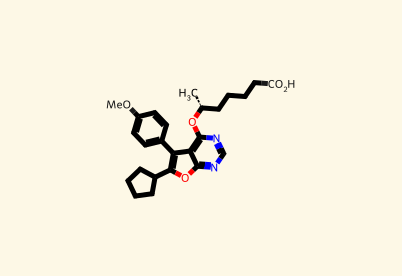 COc1ccc(-c2c(C3CCCC3)oc3ncnc(O[C@H](C)CCCCC(=O)O)c23)cc1